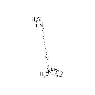 C[N+](C)(CCCCCCCCCCCCCCNC[SiH3])Cc1ccccc1